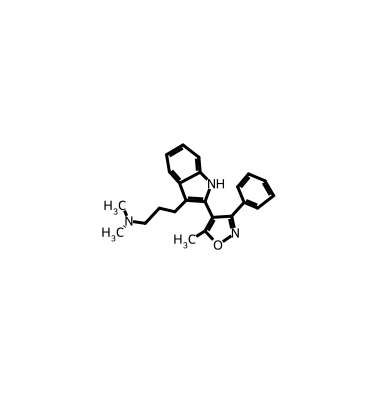 Cc1onc(-c2ccccc2)c1-c1[nH]c2ccccc2c1CCCN(C)C